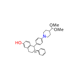 COC(OC)C1CCN(c2ccc(C3c4ccc(O)cc4CC[C@@H]3c3ccccc3)cc2)CC1